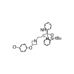 CC(C)(C)[SiH2]OC(c1ccccc1)(c1ccccc1)[C@@H](N)CCN1CC(Oc2ccc(Cl)cc2)C1